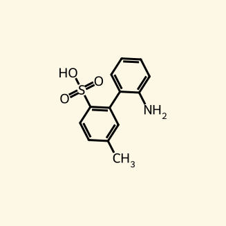 Cc1ccc(S(=O)(=O)O)c(-c2ccccc2N)c1